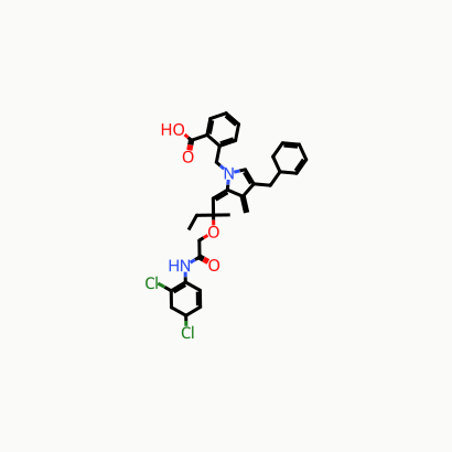 C=c1c(CC2C=CC=CC2)cn(Cc2ccccc2C(=O)O)/c1=C/C(C)(CC)OCC(=O)NC1=C(Cl)CC(Cl)C=C1